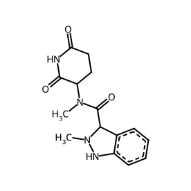 CN1Nc2ccccc2C1C(=O)N(C)C1CCC(=O)NC1=O